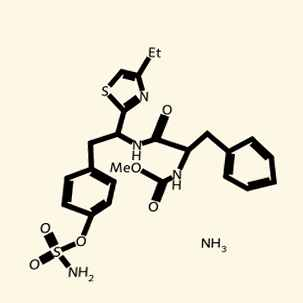 CCc1csc(C(Cc2ccc(OS(N)(=O)=O)cc2)NC(=O)C(Cc2ccccc2)NC(=O)OC)n1.N